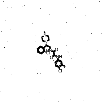 CN1CCN(C(CNC(=O)C(=O)Nc2ccc(Cl)c(F)c2)c2ccccc2Cl)CC1